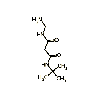 CC(C)(C)NC(=O)CC(=O)NCN